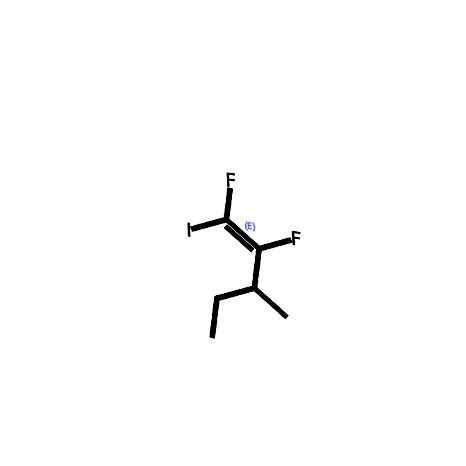 CCC(C)/C(F)=C(/F)I